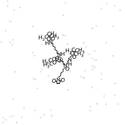 CC(C)(C)OC(=O)CNCCN(CCN(CCNCCCCCCNC(=O)OC(C)(C)C)CC(=O)OC(C)(C)C)C(=O)CCCCCN1C(=O)C=CC1=O